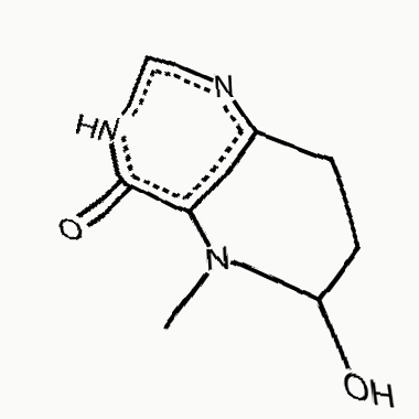 CN1c2c(nc[nH]c2=O)CCC1O